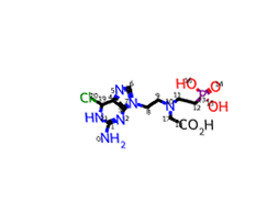 NC1=Nc2c(ncn2CCN(CCP(=O)(O)O)CC(=O)O)C(Cl)N1